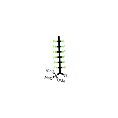 CCC(C(F)(F)C(F)(F)C(F)(F)C(F)(F)C(F)(F)C(C)(F)F)[Si](OC)(OC)OC